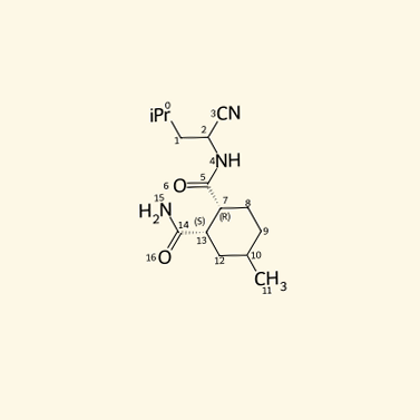 CC(C)CC(C#N)NC(=O)[C@@H]1CCC(C)C[C@@H]1C(N)=O